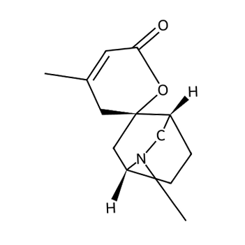 CC1=CC(=O)O[C@@]2(C1)C[C@H]1CC[C@@H]2CN1C